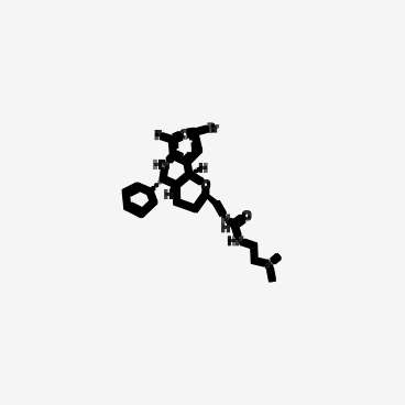 CN(C)CCNC(=O)NC[C@H]1CC[C@@H]2[C@H](O1)c1cc(Br)cc(F)c1N[C@H]2C1C=CC=CC1